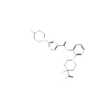 NC(=O)C1(N)CCN(c2ccccc2NC(=O)c2csc(N3CCC(O)CC3)n2)CC1